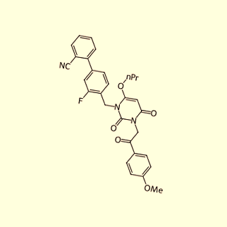 CCCOc1cc(=O)n(CC(=O)c2ccc(OC)cc2)c(=O)n1Cc1ccc(-c2ccccc2C#N)cc1F